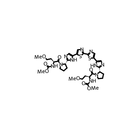 COCC[C@H](NC(=O)OC)C(=O)N1CCC[C@H]1c1ncc(-c2cnc(-c3ncc(-c4cnc([C@@H]5CCCN5C(=O)[C@H](CCOC)NC(=O)OC)[nH]4)s3)s2)[nH]1